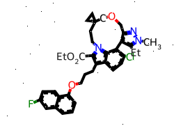 CCOC(=O)c1c(CCCOc2cccc3cc(F)ccc23)c2ccc(Cl)c3c2n1CCC1(CC1)COCc1nn(C)c(CC)c1-3